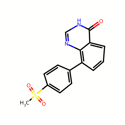 CS(=O)(=O)c1ccc(-c2cccc3c(=O)[nH]cnc23)cc1